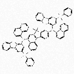 CC1(C)c2cc(N(c3cccc4ccccc34)c3cc([Si](C)(C)c4ccccc4)cc4c3oc3ccccc34)ccc2-c2c1cc(N(c1cccc3ccccc13)c1cc([Si](C)(C)c3ccccc3)cc3c1oc1ccccc13)c1ccccc21